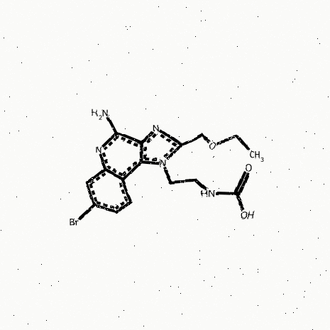 CCOCc1nc2c(N)nc3cc(Br)ccc3c2n1CCNC(=O)O